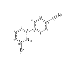 N#Cc1ccc(-c2cccc(Br)n2)cc1